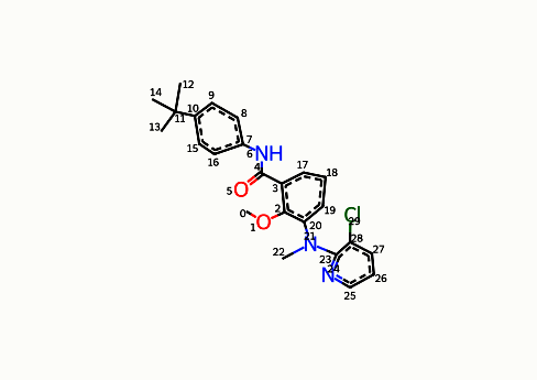 COc1c(C(=O)Nc2ccc(C(C)(C)C)cc2)cccc1N(C)c1ncccc1Cl